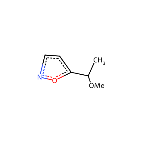 COC(C)c1c[c]no1